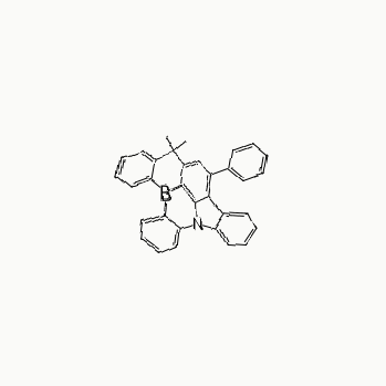 CC1(C)c2ccccc2B2c3ccccc3-n3c4ccccc4c4c(-c5ccccc5)cc1c2c43